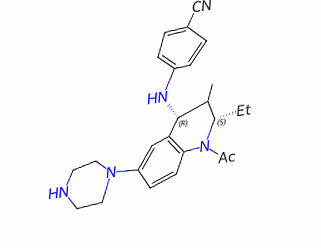 CC[C@H]1C(C)[C@@H](Nc2ccc(C#N)cc2)c2cc(N3CCNCC3)ccc2N1C(C)=O